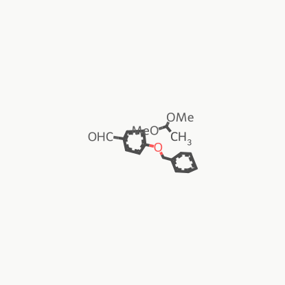 COC(C)OC.O=Cc1ccc(OCc2ccccc2)cc1